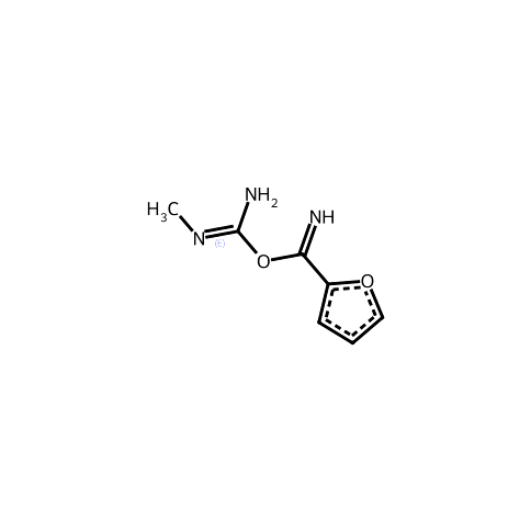 C/N=C(\N)OC(=N)c1ccco1